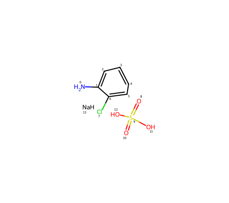 Nc1ccccc1Cl.O=S(=O)(O)O.[NaH]